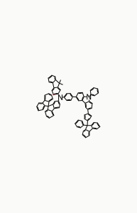 CC1(C)c2ccccc2-c2ccc(N(c3ccc(-c4ccc5c(c4)c4cc(-c6ccc(C7(c8ccccc8)c8ccccc8-c8ccccc87)cc6)ccc4n5-c4ccccc4)cc3)c3ccc4c(c3)C3(c5ccccc5-c5ccccc53)c3ccccc3-4)cc21